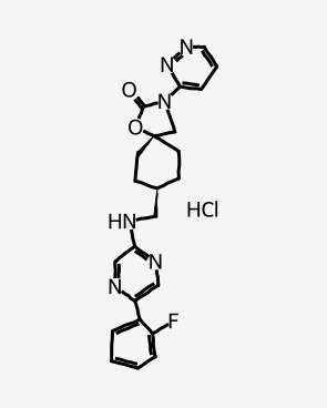 Cl.O=C1O[C@]2(CC[C@H](CNc3cnc(-c4ccccc4F)cn3)CC2)CN1c1cccnn1